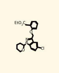 CCOC(=O)Cc1ccccc1OCc1nn(C2CCCCO2)c2ccc(Cl)cc12